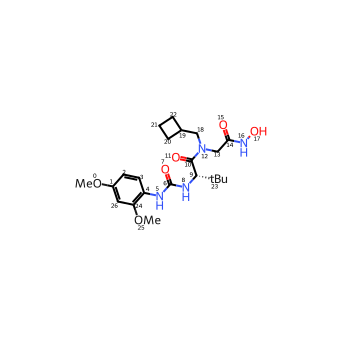 COc1ccc(NC(=O)N[C@H](C(=O)N(CC(=O)NO)CC2CCC2)C(C)(C)C)c(OC)c1